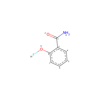 NC(=O)c1ccccc1OF